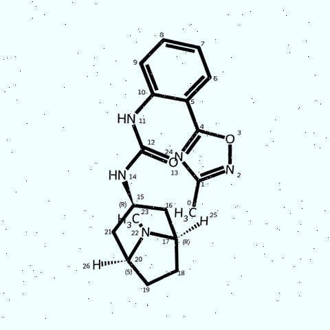 Cc1noc(-c2ccccc2NC(=O)N[C@H]2C[C@H]3CC[C@@H](C2)N3C)n1